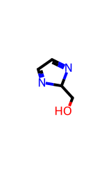 OCC1N=CC=N1